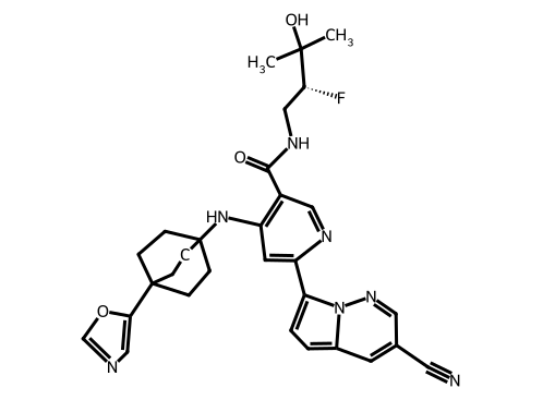 CC(C)(O)[C@H](F)CNC(=O)c1cnc(-c2ccc3cc(C#N)cnn23)cc1NC12CCC(c3cnco3)(CC1)CC2